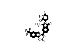 C[C@@H]1c2cc(C(=O)N3Cc4cc(C(F)(F)F)ccc4[C@@H]3C)ccc2C(=O)N1[C@@H]1CCC(=O)NC1=O